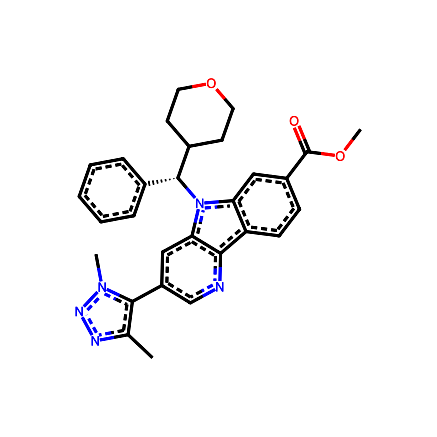 COC(=O)c1ccc2c3ncc(-c4c(C)nnn4C)cc3n([C@H](c3ccccc3)C3CCOCC3)c2c1